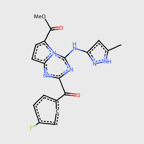 COC(=O)c1ccc2nc(C(=O)c3ccc(F)cc3)nc(Nc3cc(C)[nH]n3)n12